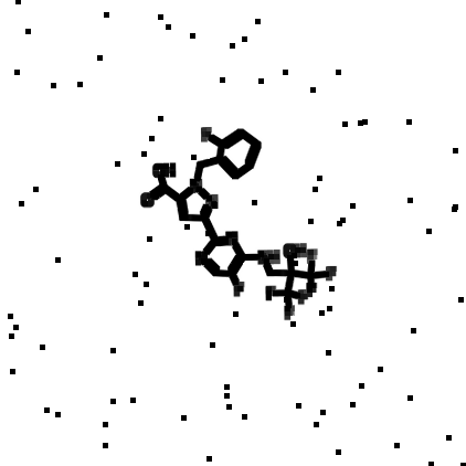 O=C(O)c1cc(-c2ncc(F)c(NCC(O)(C(F)(F)F)C(F)(F)F)n2)nn1Cc1ccccc1F